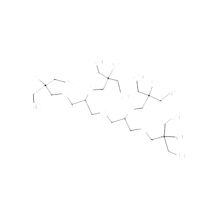 CCC(COCC(COCC(COCC(CC)(CC(C)C)CC(C)C)OCC(CC)(CC(C)C)CC(C)C)OCC(CC)(CC(C)C)CC(C)C)(CC(C)C)CC(C)C